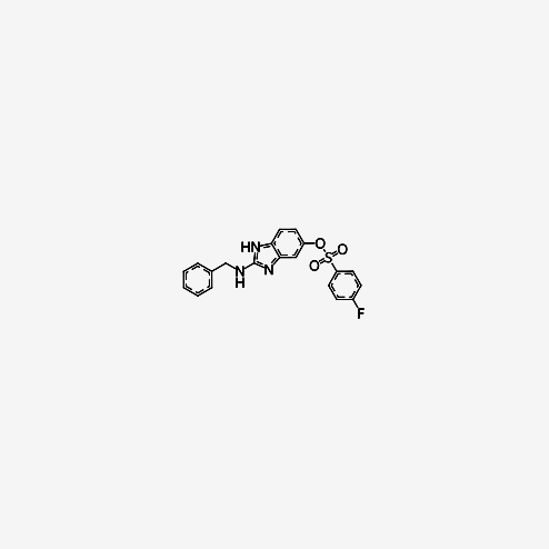 O=S(=O)(Oc1ccc2[nH]c(NCc3ccccc3)nc2c1)c1ccc(F)cc1